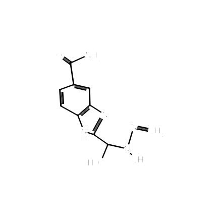 C=NN(C)C(C)c1nc2cc(C(N)=O)ccc2[nH]1